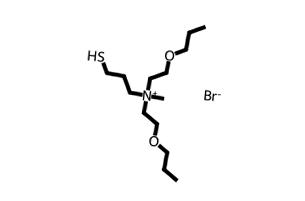 CCCOCC[N+](C)(CCCS)CCOCCC.[Br-]